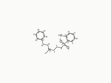 CN(CCCS(=O)(=O)c1ccccc1F)CCc1ccccc1